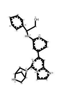 OCC(Nc1cc(-c2cc3nccn3c(N3CC4CC3CN4)n2)ccn1)c1ccccc1